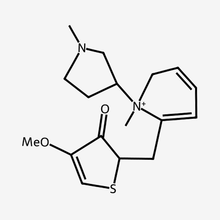 COC1=CSC(CC2=CC=CC[N+]2(C)C2CCN(C)C2)C1=O